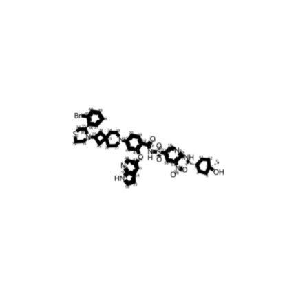 C[C@]1(O)CC[C@H](CNc2ncc(S(=O)(=O)NC(=O)c3ccc(N4CCC5(CC4)CC(N4CCSC[C@H]4c4ccccc4Br)C5)cc3Oc3cnc4[nH]ccc4c3)cc2[N+](=O)[O-])CC1